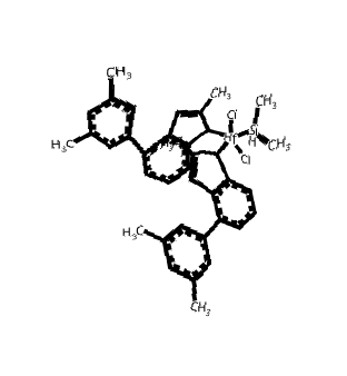 CC1=Cc2c(-c3cc(C)cc(C)c3)cccc2[CH]1[Hf]([Cl])([Cl])([CH]1C(C)=Cc2c(-c3cc(C)cc(C)c3)cccc21)[SiH](C)C